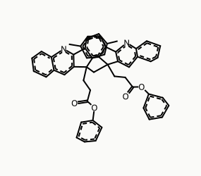 Cc1ccc2c(c1)C(CCC(=O)Oc1ccccc1)(CC1(CCC(=O)Oc3ccccc3)c3cc(C)ccc3-c3nc4ccccc4cc31)c1cc3ccccc3nc1-2